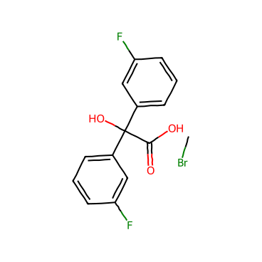 CBr.O=C(O)C(O)(c1cccc(F)c1)c1cccc(F)c1